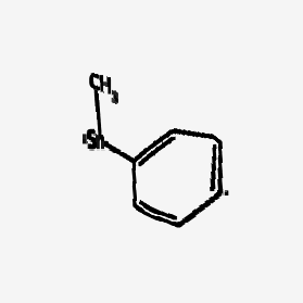 [CH3][Sn][c]1cc[c]cc1